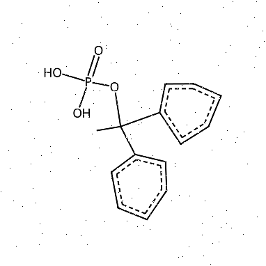 CC(OP(=O)(O)O)(c1ccccc1)c1ccccc1